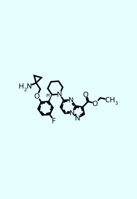 CCOC(=O)c1cnn2ccc(N3CCCC[C@@H]3c3cc(F)ccc3OCC3(N)CC3)nc12